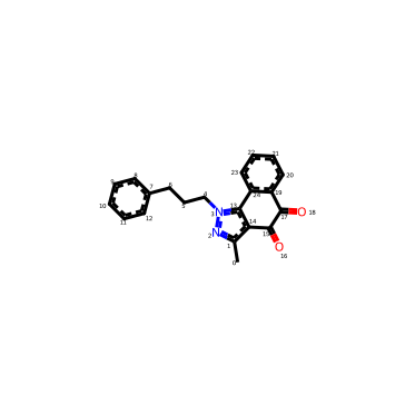 Cc1nn(CCCc2ccccc2)c2c1C(=O)C(=O)c1ccccc1-2